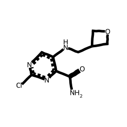 NC(=O)c1nc(Cl)ncc1NCC1COC1